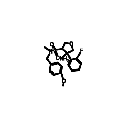 COc1ccc(CN(C)S(=O)(=O)C2COCC2(N)c2ccccc2F)cc1